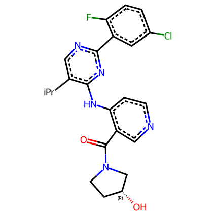 CC(C)c1cnc(-c2cc(Cl)ccc2F)nc1Nc1ccncc1C(=O)N1CC[C@@H](O)C1